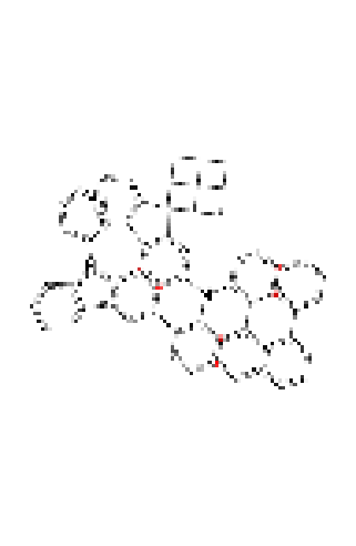 c1ccc(-c2cccc3cccc(-c4ccccc4N(c4ccc5c(c4)C4(c6ccccc6-5)C5CC6CC7CC4C675)c4ccccc4-c4ccc5c(c4)c4ccccc4n5-c4ccccc4)c23)cc1